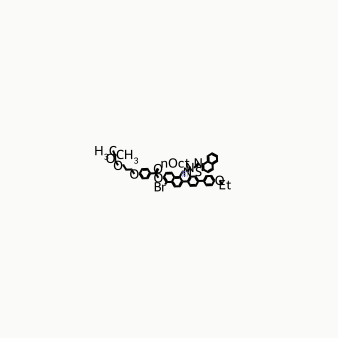 CCCCCCCCN(/N=C/c1c(-c2ccc(-c3ccc(OCC)cc3)cc2)ccc2c(Br)c(OC(=O)c3ccc(OCCCOC4OC4(C)C)cc3)ccc12)c1nc2c(ccc3ccccc32)s1